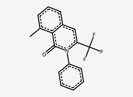 Cc1cccc2cc(C(F)(F)F)n(-c3ccccc3)c(=O)c12